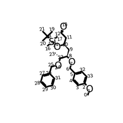 COc1ccc(CO[C@H](C[C@H](CC=O)O[Si](C)(C)C(C)(C)C)[C@@H](C)OCc2ccccc2)cc1